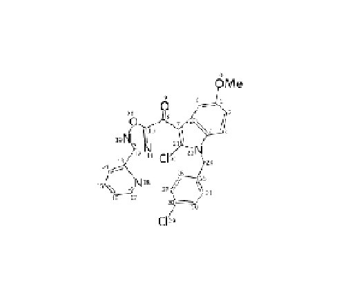 COc1ccc2c(c1)c(C(=O)c1nc(-c3ccccn3)no1)c(Cl)n2Cc1ccc(Cl)cc1